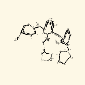 [C-]#[N+]c1cnc(Nc2cc(NCC3CCCNC3)c(-n3ccc(CN4CCOCC4)c3)cn2)cn1